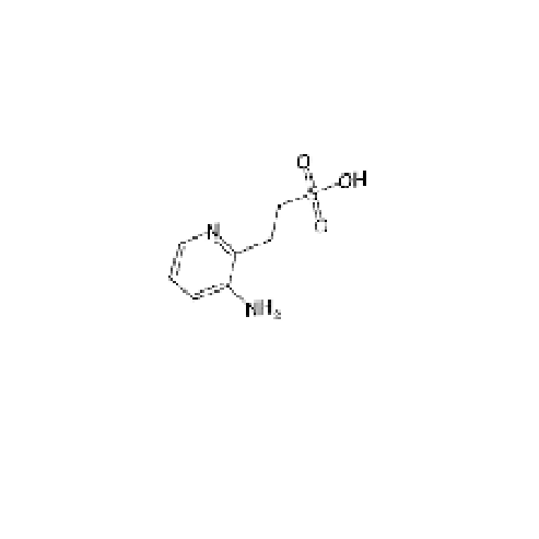 Nc1cccnc1CCS(=O)(=O)O